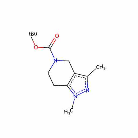 Cc1nn(C)c2c1CN(C(=O)OC(C)(C)C)CC2